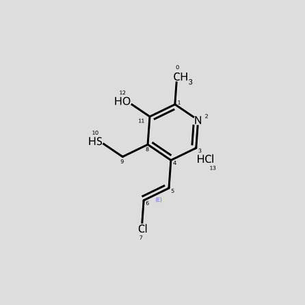 Cc1ncc(/C=C/Cl)c(CS)c1O.Cl